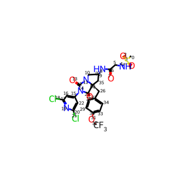 CS(=O)(=O)NCC(=O)N[C@@H]1CN2C(=O)N(c3cc(Cl)nc(Cl)c3)C(=O)[C@@]2(Cc2ccc(OC(F)(F)F)cc2)C1